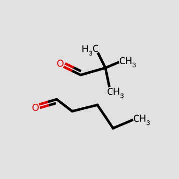 CC(C)(C)C=O.CCCCC=O